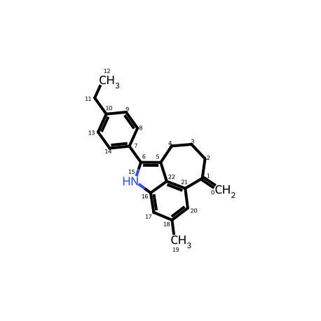 C=C1CCCc2c(-c3ccc(CC)cc3)[nH]c3cc(C)cc1c23